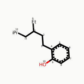 CCC(CCc1ccccc1O)CC(C)C